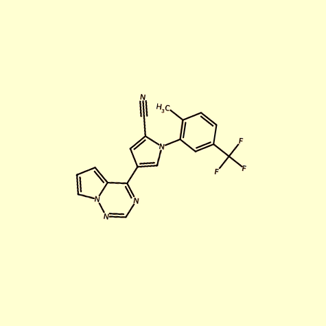 Cc1ccc(C(F)(F)F)cc1-n1cc(-c2ncnn3cccc23)cc1C#N